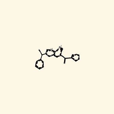 CC(c1ccccc1)c1cnc2ncc(C(C)c3ccccc3)cc2c1